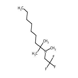 CCCCCCCC(C)(C)N(C)CC(F)(F)F